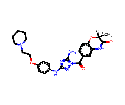 CC1(C)Oc2ccc(C(=O)n3nc(Nc4ccc(OCCN5CCCCC5)cc4)nc3N)cc2NC1=O